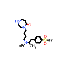 CCCN(CCCCN1CCNCCC1=O)C(C)Cc1ccc(S(=O)(=O)C(C)C)cc1